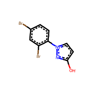 Oc1ccn(-c2ccc(Br)cc2Br)n1